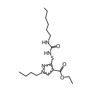 CCCCCCNC(=O)NSc1nn(CCCC)cc1C(=O)OCC